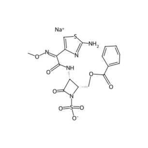 CO/N=C(\C(=O)N[C@H]1C(=O)N(S(=O)(=O)[O-])[C@H]1COC(=O)c1ccccc1)c1csc(N)n1.[Na+]